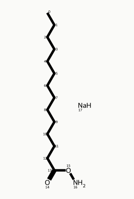 CCCCCCCCCCCCCC(=O)ON.[NaH]